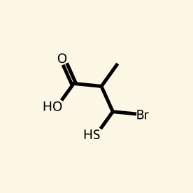 CC(C(=O)O)C(S)Br